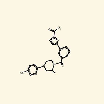 CC1CN(c2ccc(C#N)cn2)CCN1C(=O)c1cccc(-c2ccc(C(=O)C(F)(F)F)s2)c1